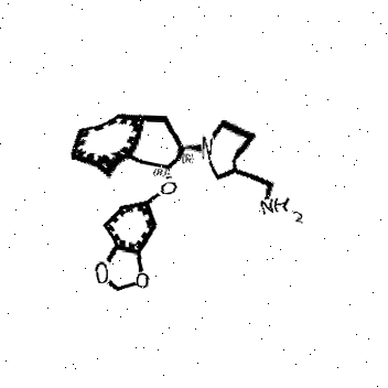 NCC1CCN([C@@H]2Cc3ccccc3[C@H]2Oc2ccc3c(c2)OCO3)C1